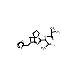 CC(C)C(=O)N[C@H](C(=O)N1CCCC12CN(Cc1nnco1)C2=O)C(C)C